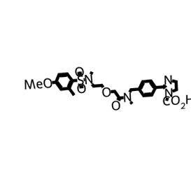 COc1ccc(S(=O)(=O)N(C)CCOCC(=O)N(C)Cc2ccc(C3=NCCN3C(=O)O)cc2)c(C)c1